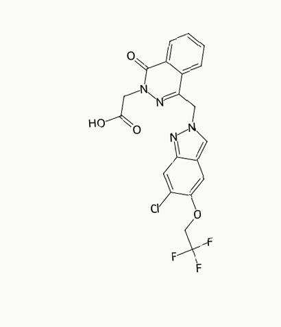 O=C(O)Cn1nc(Cn2cc3cc(OCC(F)(F)F)c(Cl)cc3n2)c2ccccc2c1=O